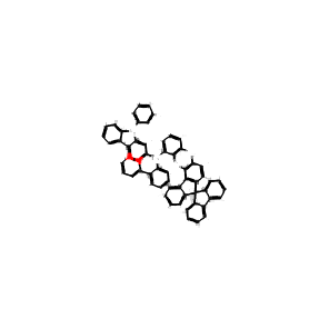 c1ccc(-c2ccccc2N(c2ccc3c4ccccc4n(-c4ccccc4)c3c2)c2cccc3c2Oc2c(ccc4c2-c2ccccc2C42c4ccccc4-c4ccccc42)O3)cc1